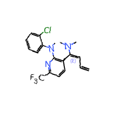 C=C/C=C(\c1ccc(C(F)(F)F)nc1N(C)c1ccccc1Cl)N(C)C